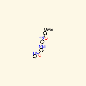 COc1ccc(C(=O)Nc2ccc(-c3nc4cc(C(=O)NC5C=CC=CC5)ccc4[nH]3)cc2)cc1